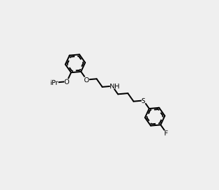 CC(C)Oc1ccccc1OCCNCCCSc1ccc(F)cc1